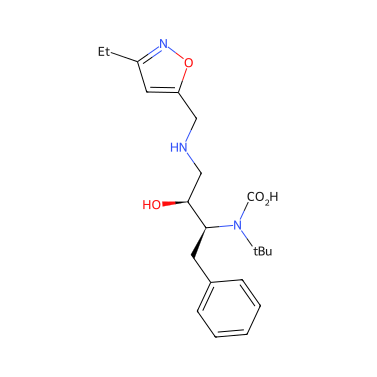 CCc1cc(CNC[C@H](O)[C@H](Cc2ccccc2)N(C(=O)O)C(C)(C)C)on1